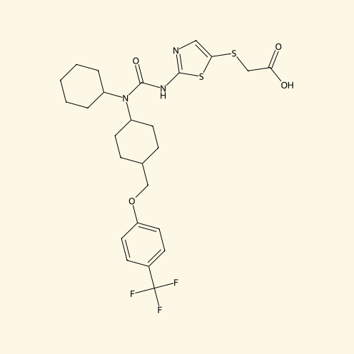 O=C(O)CSc1cnc(NC(=O)N(C2CCCCC2)C2CCC(COc3ccc(C(F)(F)F)cc3)CC2)s1